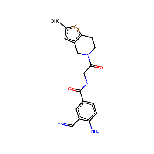 N=Cc1cc(C(=O)NCC(=O)N2CCc3sc(C=O)cc3C2)ccc1N